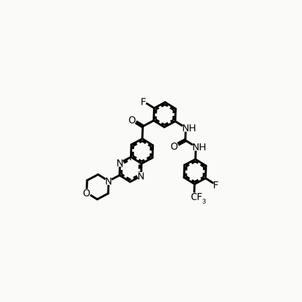 O=C(Nc1ccc(C(F)(F)F)c(F)c1)Nc1ccc(F)c(C(=O)c2ccc3ncc(N4CCOCC4)nc3c2)c1